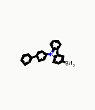 Bc1ccc2c(c1)c1ccccc1n2-c1ccc(-c2ccccc2)cc1